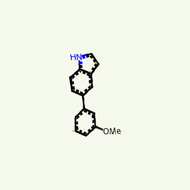 COc1c[c]cc(-c2ccc3[nH]ccc3c2)c1